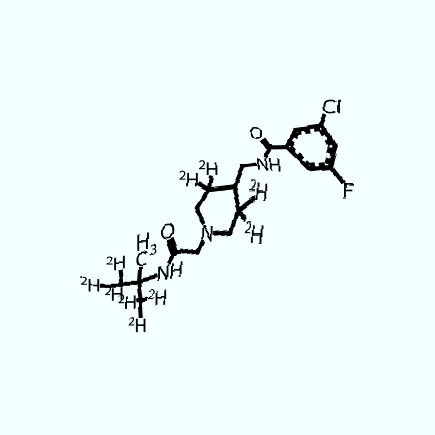 [2H]C1([2H])CN(CC(=O)NC(C)(C([2H])([2H])[2H])C([2H])([2H])[2H])CC([2H])([2H])C1CNC(=O)c1cc(F)cc(Cl)c1